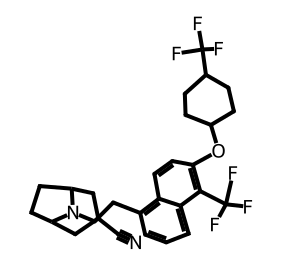 N#CC1CC2CCC(C1)N2CCc1cccc2c(C(F)(F)F)c(OC3CCC(C(F)(F)F)CC3)ccc12